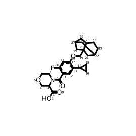 O=C(O)C1COCCN1C(=O)c1cc(C2CC2)c(OCC23CC4CCC2CC(C4)C3)cc1F